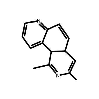 CC1=CC2C=Cc3ncccc3C2C(C)=N1